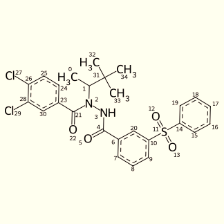 CC(N(NC(=O)c1cccc(S(=O)(=O)c2ccccc2)c1)C(=O)c1ccc(Cl)c(Cl)c1)C(C)(C)C